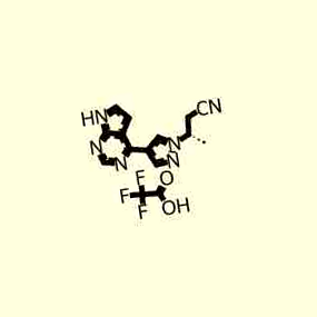 C[C@@H](CC#N)n1cc(-c2ncnc3[nH]ccc23)cn1.O=C(O)C(F)(F)F